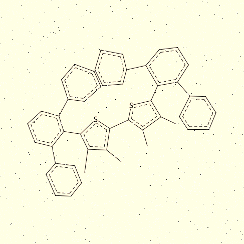 Cc1c(-c2sc(-c3c(-c4ccccc4)cccc3-c3ccccc3)c(C)c2C)sc(-c2c(-c3ccccc3)cccc2-c2ccccc2)c1C